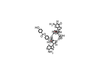 CO[C@H]1[C@H]2OP(=O)(O)OCC34C[C@@H]3[C@@H](n3cnc5c(N)ncnc53)[C@H](O)[C@@H]4[P@](=O)(SCc3ccc(OC(=O)c4ccc(O)cc4)cc3)OC[C@H]1O[C@H]2n1cnc2c(=O)[nH]c(N)nc21